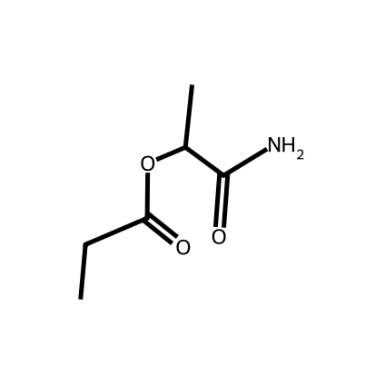 CCC(=O)OC(C)C(N)=O